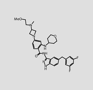 COCCN(C)C1CN(c2ccc(C(=O)Nc3n[nH]c4ccc(Cc5cc(F)cc(F)c5)cc34)c(NC3CCOCC3)c2)C1